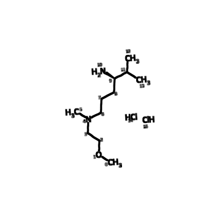 COCCN(C)CCC[C@@H](N)C(C)C.Cl.Cl